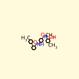 Cc1ccc(-c2ccccc2C(=O)Nc2ccc(C(=O)N(C)c3ccc(C)cc3O)cc2)cc1